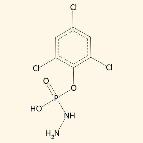 NNP(=O)(O)Oc1c(Cl)cc(Cl)cc1Cl